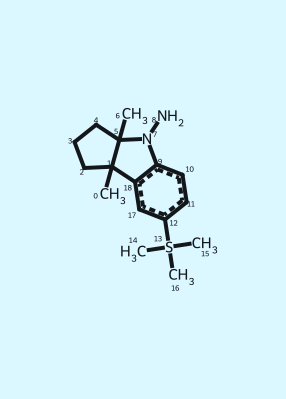 CC12CCCC1(C)N(N)c1ccc(S(C)(C)C)cc12